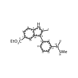 CCOC(=O)c1ccc2[nH]c(C)c(-c3cccc(N(C)SC)c3)c2c1